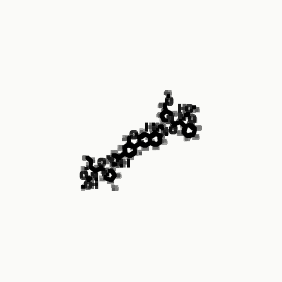 CC[C@H](C)C(NC(=O)OC)C(=O)N1C[C@@H](C)C[C@H]1c1ncc(-c2ccc3c(c2)COc2cc4c(ccc5nc([C@@H]6CC(COC)CN6C(=O)C(NC(=O)OC)c6ccccc6)[nH]c54)cc2-3)[nH]1